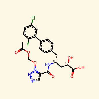 CC(=O)OCOn1nncc1C(=O)N[C@H](Cc1ccc(-c2cc(Cl)ccc2F)cc1)C[C@@H](O)C(=O)O